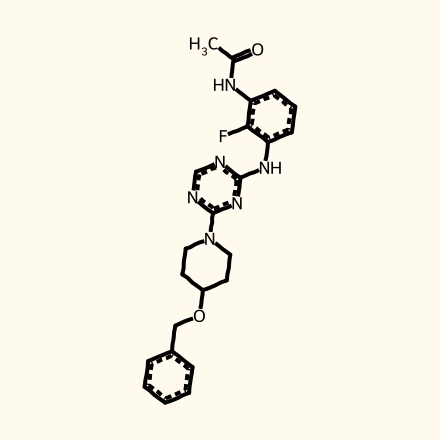 CC(=O)Nc1cccc(Nc2ncnc(N3CCC(OCc4ccccc4)CC3)n2)c1F